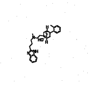 Cc1ccccc1C1=C[C@@H]2CC[C@H]1C[C@]2(O)CCN(C)CCCc1nc2ccccc2[nH]1